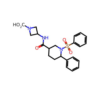 O=C(NC1CN(C(=O)O)C1)C1CCC(c2ccccc2)N(S(=O)(=O)c2ccccc2)C1